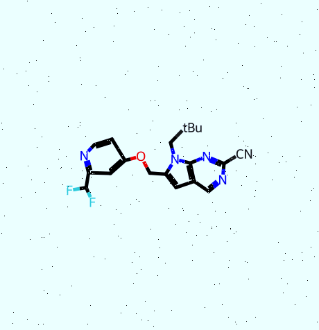 CC(C)(C)Cn1c(COc2ccnc(C(F)F)c2)cc2cnc(C#N)nc21